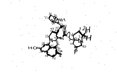 [2H]C1([2H])CC[C@@]2(COc3nc4c(c(N5CC6CCC5CN6)n3)CCN(c3cc(O)cc5ccc(F)c(F)c35)C4)C[C@@H](F)CN12